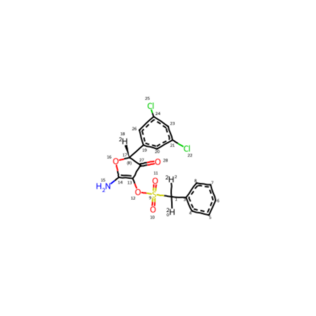 [2H]C([2H])(c1ccccc1)S(=O)(=O)OC1=C(N)O[C@]([2H])(c2cc(Cl)cc(Cl)c2)C1=O